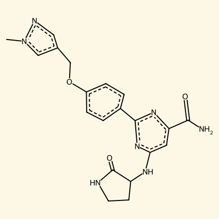 Cn1cc(COc2ccc(-c3nc(NC4CCNC4=O)cc(C(N)=O)n3)cc2)cn1